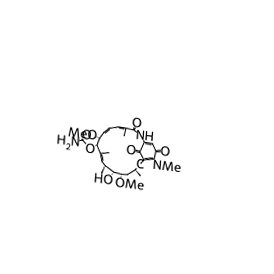 CNC1=C2C[C@@H](C)C[C@H](OC)[C@H](O)[C@@H](C)/C=C(\C)[C@H](OC(N)=O)[C@H](OC)/C=C\C=C(/C)C(=O)NC(=CC1=O)C2=O